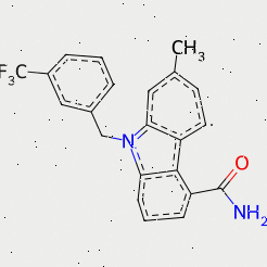 Cc1c[c]c2c3c(C(N)=O)cccc3n(Cc3cccc(C(F)(F)F)c3)c2c1